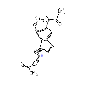 COc1cc2c(cc1OC(C)=O)CC/C2=N\OC(C)=O